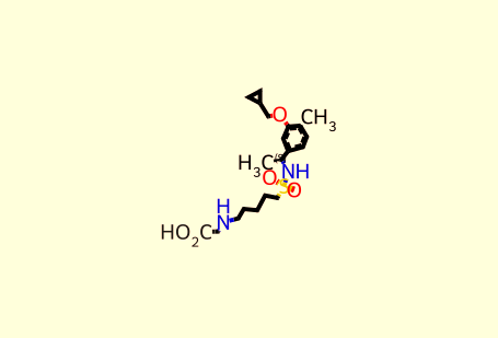 Cc1ccc([C@H](C)NS(=O)(=O)CCCCCNCC(=O)O)cc1OCC1CC1